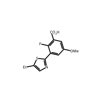 CCc1cnc(-c2cc(OC)cc(C(=O)O)c2F)s1